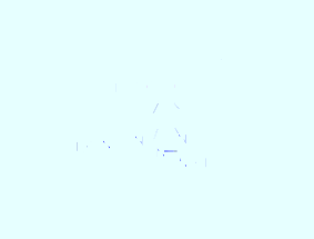 CCCCOc1cc2nc(N(C)C)nc(N3CCN(C)CC3)c2cc1OC